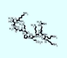 CC(NC(=O)[C@@H](NC(=O)C(N)CCCCN)C(O)CN)C(=O)NCC(=O)N[C@H](CCCN)C(=O)N1CCC[C@H]1C(=O)N[C@@H](CCC(=O)O)C(=O)N[C@@H](CCCCN)C(=O)N/C(=C\CCNC(=N)N)C(=O)N[C@@H](CCCCN)C(=O)NCCCCN